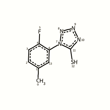 Cc1ccc(F)c(-n2nnnc2S)c1